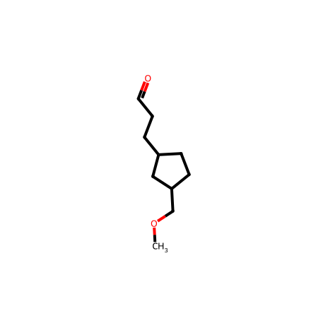 COCC1CCC(CCC=O)C1